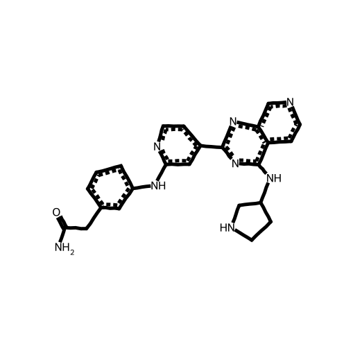 NC(=O)Cc1cccc(Nc2cc(-c3nc(NC4CCNC4)c4ccncc4n3)ccn2)c1